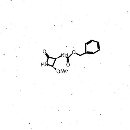 CO[C@H]1NC(=O)[C@H]1NC(=O)OCc1ccccc1